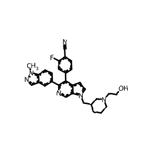 Cn1ncc2cc(-c3ncc4c(ccn4CC4CCCN(CCO)C4)c3-c3ccc(C#N)c(F)c3)ccc21